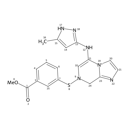 COC(=O)c1cccc(SN2C=C(Nc3cc(C)[nH]n3)[N+]3C=CN=C3C2)c1